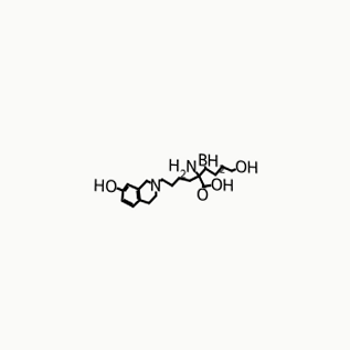 BC(CCCO)C(N)(CCCCN1CCc2ccc(O)cc2C1)C(=O)O